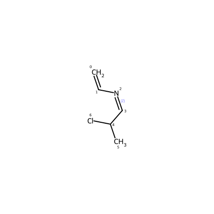 C=C/N=C\C(C)Cl